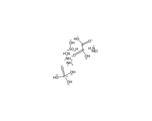 Cl.N.N.N.N.O=C(O)C(=O)O.O=P(O)(O)O.O=S(=O)(O)O